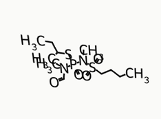 CCCCS(=O)(=O)N(C)P(=O)(SC(C)CC)N(C)C=O